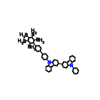 Bc1c(B)c(B)c(-c2ccc(-c3ccc(-n4c5ccccc5c5cc(-c6ccc7c(c6)c6ccccc6n7-c6ccccc6)ccc54)cc3)cc2)c(B)c1B